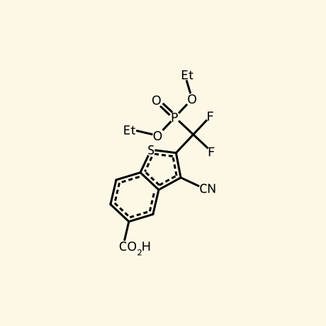 CCOP(=O)(OCC)C(F)(F)c1sc2ccc(C(=O)O)cc2c1C#N